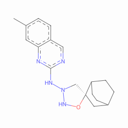 Cc1ccc2cnc(NN3C[C@]4(CC5CCC4CC5)ON3)nc2c1